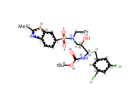 CSc1nc2ccc(S(=O)(=O)N(CC(C)C)C[C@@H](O)[C@H](Cc3cc(F)cc(F)c3)NC(=O)OC(C)(C)C)cc2s1